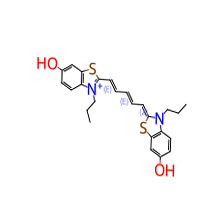 CCCN1/C(=C/C=C/C=C/c2sc3cc(O)ccc3[n+]2CCC)Sc2cc(O)ccc21